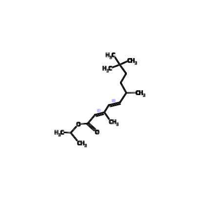 CC(/C=C/C(C)CCC(C)(C)C)=C\C(=O)OC(C)C